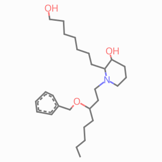 CCCCCC(CCN1CCCC(O)C1CCCCCCCO)OCc1ccccc1